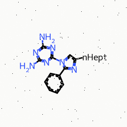 CCCCCCCc1cn(-c2nc(N)nc(N)n2)c(-c2ccccc2)n1